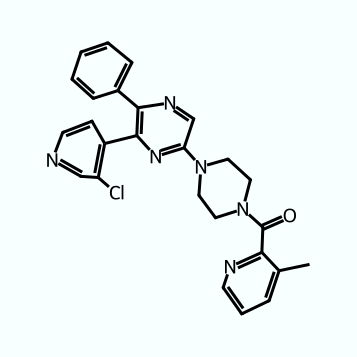 Cc1cccnc1C(=O)N1CCN(c2cnc(-c3ccccc3)c(-c3ccncc3Cl)n2)CC1